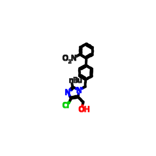 CCCCc1nc(Cl)c(CO)n1Cc1ccc(-c2ccccc2[N+](=O)[O-])cc1